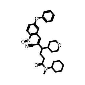 CN(C(=O)CCC(C(C#N)=Cc1cc(Oc2ccccc2)ccc1N=O)C1CCOCC1)C1CCCCC1